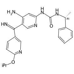 CC(C)Oc1ccc(C(=N)c2cnc(NC(=O)N[C@H](C)c3ccccc3)cc2N)cn1